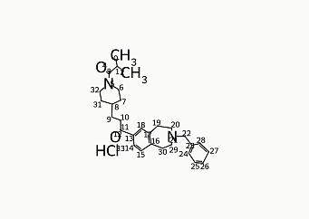 CC(C)C(=O)N1CCC(CCC(=O)c2ccc3c(c2)CCN(Cc2ccccc2)CC3)CC1.Cl